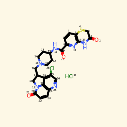 Cl.O=C1CSc2ccc(C(=O)NC3CCN(CC4Cn5c(=O)ccc6ncc(Cl)c4c65)CC3)nc2N1